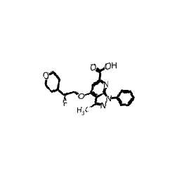 Cc1nn(-c2ccccc2)c2nc(C(=O)O)cc(OC[C@@H](F)C3CCOCC3)c12